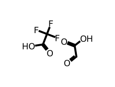 O=C(O)C(F)(F)F.O=CC(=O)O